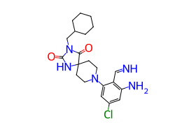 N=Cc1c(N)cc(Cl)cc1N1CCC2(CC1)NC(=O)N(CC1CCCCC1)C2=O